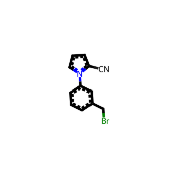 N#Cc1cccn1-c1cccc(CBr)c1